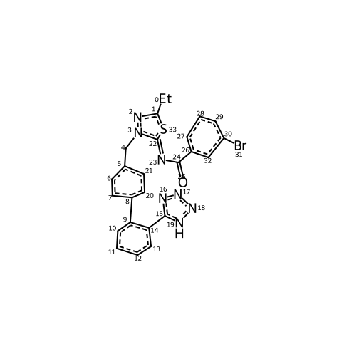 CCc1nn(Cc2ccc(-c3ccccc3-c3nnn[nH]3)cc2)c(=NC(=O)c2cccc(Br)c2)s1